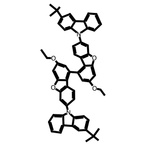 CCOc1cc(-c2cc(OCC)cc3oc4cc(-n5c6ccccc6c6cc(C(C)(C)C)ccc65)ccc4c23)c2c(c1)oc1cc(-n3c4ccccc4c4cc(C(C)(C)C)ccc43)ccc12